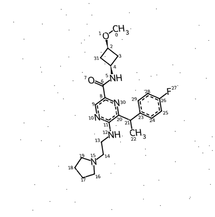 CO[C@H]1C[C@@H](NC(=O)c2cnc(NCCN3CCCC3)c(C(C)c3ccc(F)cc3)n2)C1